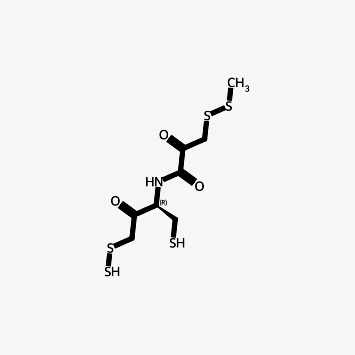 CSSCC(=O)C(=O)N[C@@H](CS)C(=O)CSS